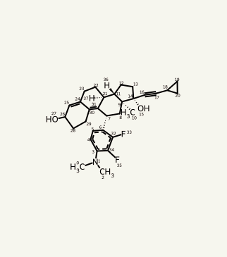 CN(C)c1ccc([C@H]2C[C@@]3(C)[C@@H](CC[C@@]3(O)C#CC3CC3)[C@@H]3CCC4=CC(O)CCC4=C32)c(F)c1F